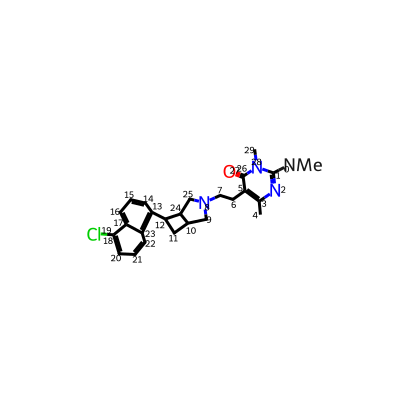 CNc1nc(C)c(CCN2CC3CC(c4cccc5c(Cl)cccc45)C3C2)c(=O)n1C